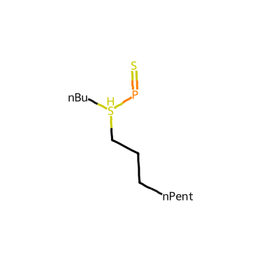 CCCCCCCC[SH](CCCC)P=S